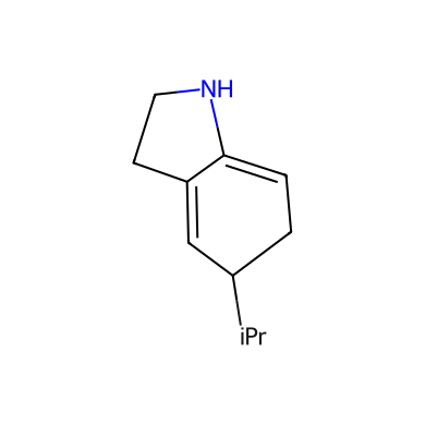 CC(C)C1C=C2CCNC2=CC1